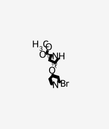 COC(=O)[C@@H]1C[C@@H](COc2ccnc(Br)c2)CN1